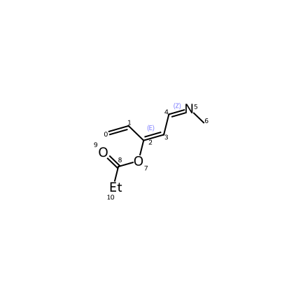 C=C/C(=C\C=N/C)OC(=O)CC